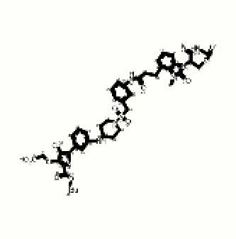 Cn1c(=O)n(C2CCC(=O)NC2=O)c2cccc(CCC(=O)Nc3cccc(CS(=O)(=O)N4CCC(Nc5cccc(-c6sc(C(=O)OC(C)(C)C)c(OCC(=O)O)c6Cl)c5)CC4)c3)c21